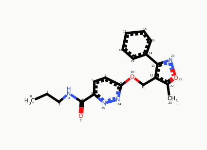 CCCNC(=O)c1ccc(OCc2c(-c3ccccc3)noc2C)nn1